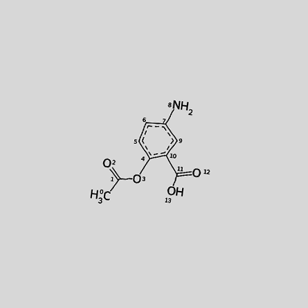 CC(=O)Oc1ccc(N)cc1C(=O)O